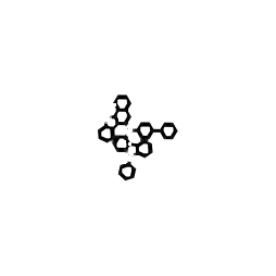 c1ccc(-c2ccc(N(c3cc4ccccc4c4oc5ccccc5c34)c3cccc4c3c3ccccc3n4-c3ccccc3)cc2)cc1